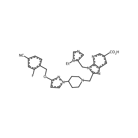 CCn1cncc1Cn1c(CN2CCC(n3ccc(OCc4ccc(C#N)cc4F)n3)CC2)nc2cc(C(=O)O)cnc21